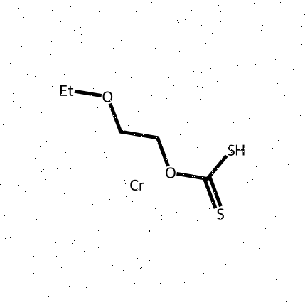 CCOCCOC(=S)S.[Cr]